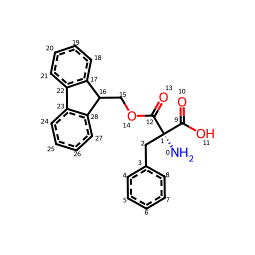 N[C@@](Cc1ccccc1)(C(=O)O)C(=O)OCC1c2ccccc2-c2ccccc21